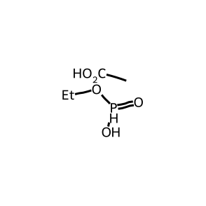 CC(=O)O.CCO[PH](=O)O